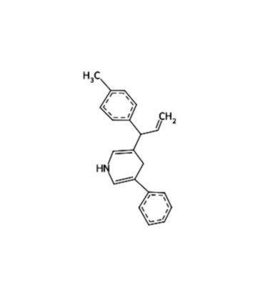 C=CC(C1=CNC=C(c2ccccc2)C1)c1ccc(C)cc1